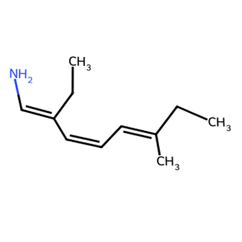 CC/C(C)=C/C=C\C(=C\N)CC